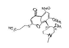 COc1cc(OC)c2c(=O)cc(SCCC(=O)O)oc2c1[C@@H]1CCN(C)C[C@@H]1O